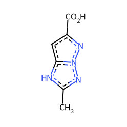 Cc1nn2nc(C(=O)O)cc2[nH]1